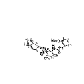 COc1ccccc1/C=C/C(=O)Nc1cc(C(=O)Nc2cnc3[nH]ccc3c2)c(Cl)cc1F